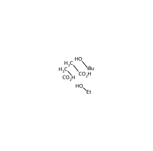 CC(=O)O.CC(=O)O.CCC(C)O.CCO